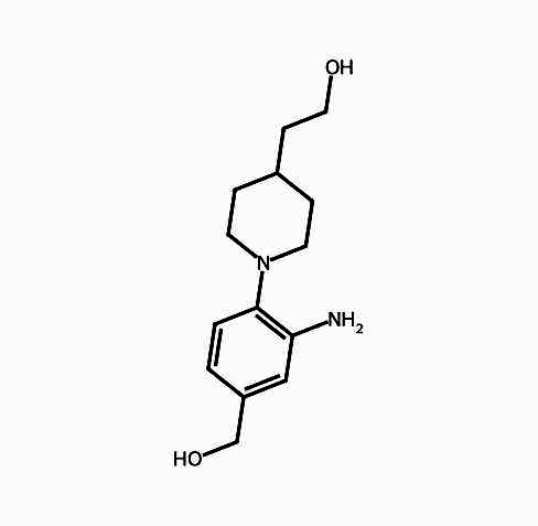 Nc1cc(CO)ccc1N1CCC(CCO)CC1